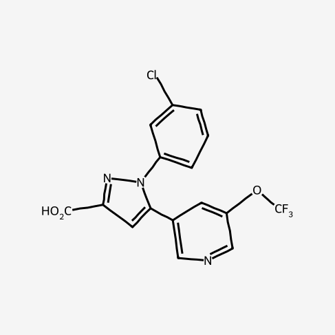 O=C(O)c1cc(-c2cncc(OC(F)(F)F)c2)n(-c2cccc(Cl)c2)n1